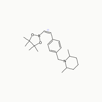 CC1CCCC(C)N1Cc1ccc(/C=C\B2OC(C)(C)C(C)(C)O2)cc1